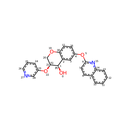 O[C@@H]1c2cc(Oc3ccc4ccccc4n3)ccc2OC[C@@H]1Oc1cccnc1